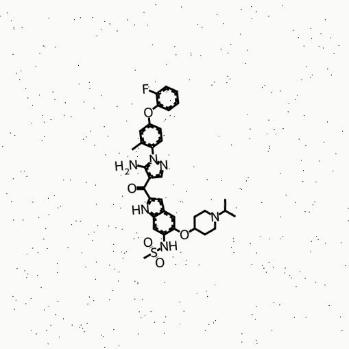 Cc1cc(Oc2ccccc2F)ccc1-n1ncc(C(=O)c2cc3cc(OC4CCN(C(C)C)CC4)c(NS(C)(=O)=O)cc3[nH]2)c1N